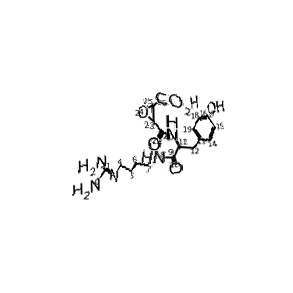 NC(N)=NCCCCNC(=O)C(Cc1ccc(O)cc1)NC(=O)C1OC1C(=O)O